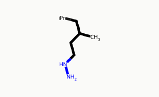 CC(C)CC(C)CCNN